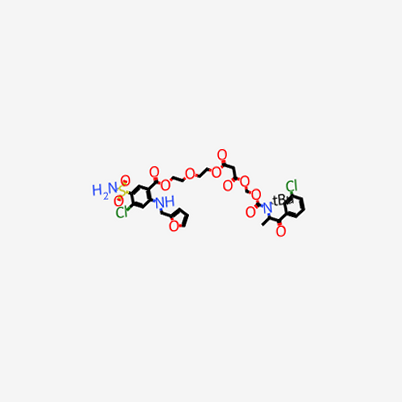 CC(C(=O)c1cccc(Cl)c1)N(C(=O)OCOC(=O)CC(=O)OCCOCCOC(=O)c1cc(S(N)(=O)=O)c(Cl)cc1NCc1ccco1)C(C)(C)C